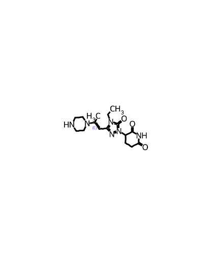 CCn1c(/C=C(\C)N2CCNCC2)nn(C2CCC(=O)NC2=O)c1=O